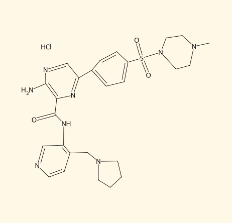 CN1CCN(S(=O)(=O)c2ccc(-c3cnc(N)c(C(=O)Nc4cnccc4CN4CCCC4)n3)cc2)CC1.Cl